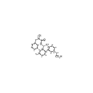 CCN(Cc1ccccc1)C(=O)OCc1cc(C)ccc1-c1cc(CC(=O)O)ccc1F